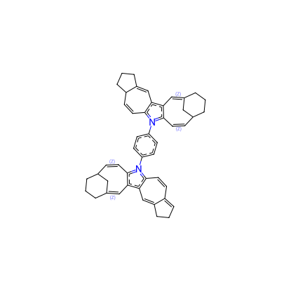 C1=Cc2c(c3c(n2-c2ccc(-n4c5c(c6c4/C=C\C4CCC/C(=C/6)C4)C=C4CCCC4C=C5)cc2)/C=C\C2CCC/C(=C/3)C2)C=C2CCC=C12